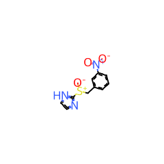 O=[N+]([O-])c1cccc(C[S+]([O-])c2ncc[nH]2)c1